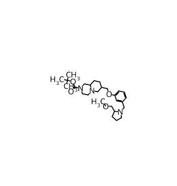 COCC1CCCN1Cc1cccc(OCC2CCC3CN(C(=O)OC(C)(C)C)CCN3C2)c1